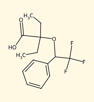 CCC(CC)(OC(c1ccccc1)C(F)(F)F)C(=O)O